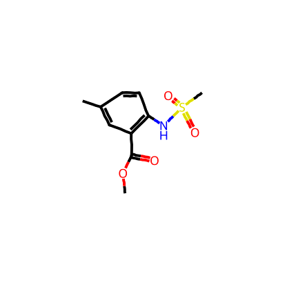 COC(=O)c1cc(C)ccc1NS(C)(=O)=O